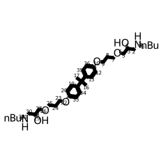 CCCCNCC(O)COCCCOc1ccc(C(C)(C)c2ccc(OCCCOCC(O)CNCCCC)cc2)cc1